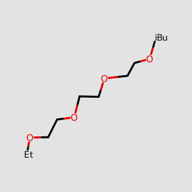 CCOCCOCCOCCOC(C)CC